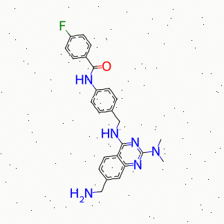 CN(C)c1nc(NCc2ccc(NC(=O)c3ccc(F)cc3)cc2)c2ccc(CN)cc2n1